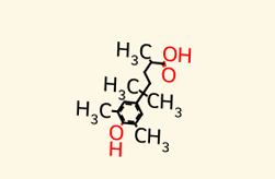 Cc1cc(C(C)(C)CCC(C)C(=O)O)cc(C)c1O